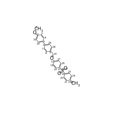 COc1ccc(-c2ccc(COc3ccc(S(=O)(=O)c4ccc(C)cc4)cc3)cc2)cc1